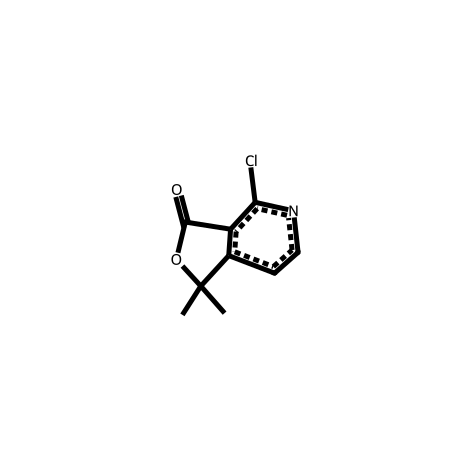 CC1(C)OC(=O)c2c1ccnc2Cl